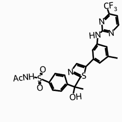 CC(=O)NS(=O)(=O)c1ccc(C(C)(O)c2ncc(-c3cc(C)cc(Nc4nccc(C(F)(F)F)n4)c3)s2)cc1